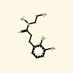 CC(C)(C)c1cccc(CCC(=O)N(CCO)C(C)(C)C)c1O